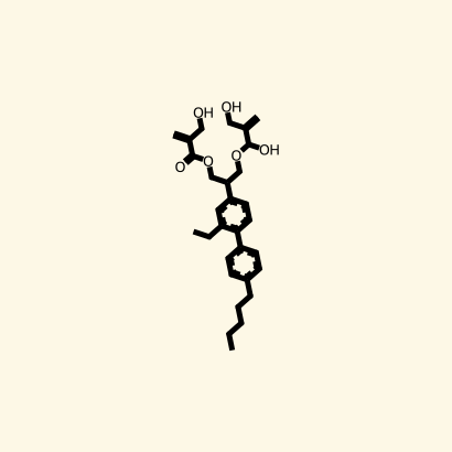 C=C(CO)C(=O)OCC(COC(O)C(=C)CO)c1ccc(-c2ccc(CCCCC)cc2)c(CC)c1